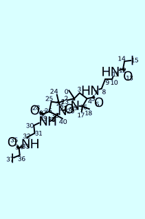 CC1(C)CC(C(=O)NCCCNC(=O)CI)C(C)(C)N1ON1C(C)(C)CC(C(=O)NCCCNC(=O)CI)C1(C)C